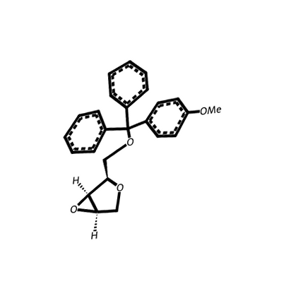 COc1ccc(C(OC[C@H]2OC[C@H]3O[C@@H]23)(c2ccccc2)c2ccccc2)cc1